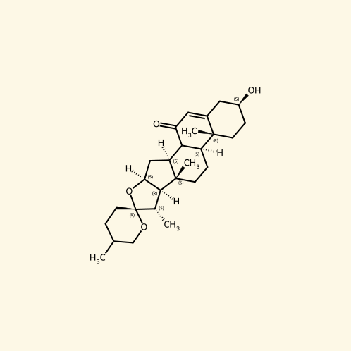 CC1CC[C@@]2(OC1)O[C@H]1C[C@H]3C4C(=O)C=C5C[C@@H](O)CC[C@]5(C)[C@H]4CC[C@]3(C)[C@H]1[C@@H]2C